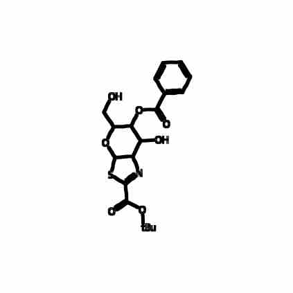 CC(C)(C)OC(=O)C1=NC2C(OC(CO)C(OC(=O)c3ccccc3)C2O)S1